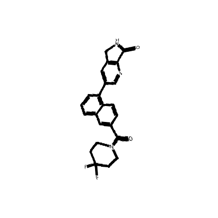 O=C1NCc2cc(-c3cccc4cc(C(=O)N5CCC(F)(F)CC5)ccc34)cnc21